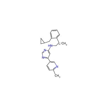 Cc1ccc(-c2cc(NC[C@@H](C)c3ccccc3CC3CC3)ncn2)cn1